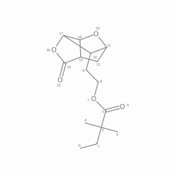 CCC(C)(C)C(=O)OCCC1C2CC3C(=O)OC1C3O2